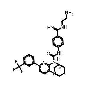 N=C(NCCN)c1ccc(NC(=O)N2c3nc(-c4cccc(C(F)(F)F)c4)ccc3N3CCC[C@H]2C3)cc1